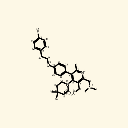 Cc1nc(CN(C)C)c(CC(=O)O)c(N2CCC(C)(C)CC2)c1-c1ccc(OCCc2ccc(F)cc2)cc1